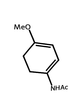 COC1=CC=C(NC(C)=O)CC1